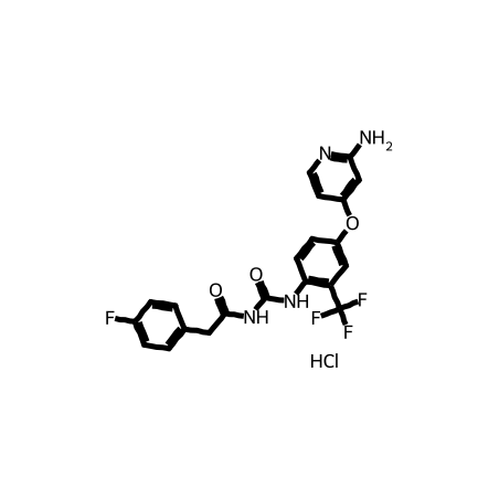 Cl.Nc1cc(Oc2ccc(NC(=O)NC(=O)Cc3ccc(F)cc3)c(C(F)(F)F)c2)ccn1